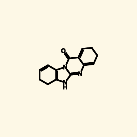 O=c1c2c(nc3[nH]c4c(n13)C=CCC4)=CCCC=2